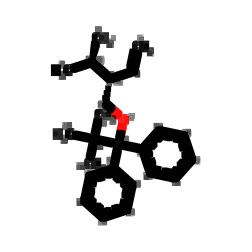 [CH2][C@H](C)[C@H](C=C)CO[Si](c1ccccc1)(c1ccccc1)C(C)(C)C